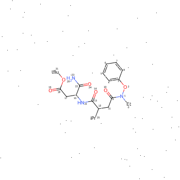 CCN(Oc1ccccc1)C(=O)CC(C(=O)NC(CC(=O)OC(C)(C)C)C(N)=O)C(C)C